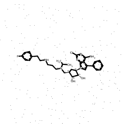 CC(C)N(CCCNCCc1ccc(F)cc1)C[C@H]1C[C@@H](n2cc(-c3ccccc3)c3c(N)nc(Cl)nc32)[C@H](O)[C@@H]1O